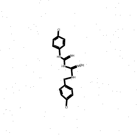 Cl.N=C(NCc1ccc(Cl)cc1)NC(=N)Nc1ccc(Cl)cc1